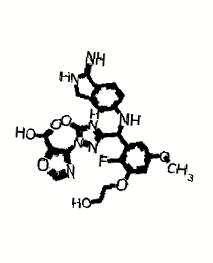 COc1cc(OCCO)c(F)c(C(Nc2ccc3c(c2)CNC3=N)c2nn(-c3ncoc3C(=O)O)c(=O)[nH]2)c1